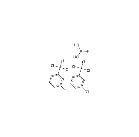 Clc1cccc(C(Cl)(Cl)Cl)n1.Clc1cccc(C(Cl)(Cl)Cl)n1.OB(O)F